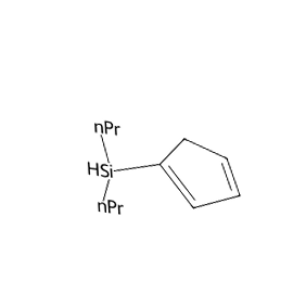 CCC[SiH](CCC)C1=CC=CC1